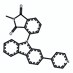 CN1C(=O)c2cccc(-n3c4ccccc4c4ccc(-c5ccncc5)cc43)c2C1=O